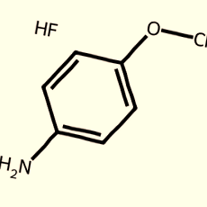 F.Nc1ccc(OCl)cc1